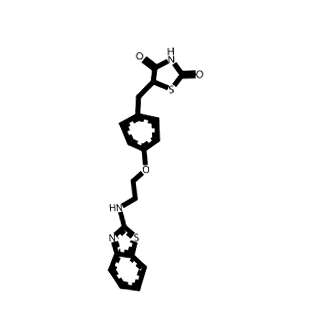 O=C1NC(=O)C(Cc2ccc(OCCNc3nc4ccccc4s3)cc2)S1